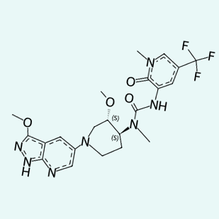 COc1n[nH]c2ncc(N3CC[C@H](N(C)C(=O)Nc4cc(C(F)(F)F)cn(C)c4=O)[C@@H](OC)C3)cc12